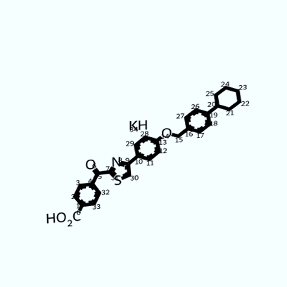 O=C(O)c1ccc(C(=O)c2nc(-c3ccc(OCc4ccc(C5CCCCC5)cc4)cc3)cs2)cc1.[KH]